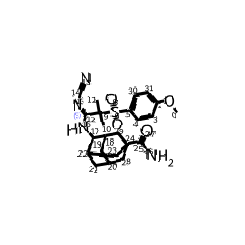 COc1ccc(S(=O)(=O)C(C)(C)/C(=N\C#N)NC2C3CC4CC2CC(C(N)=O)(C4)C3)cc1